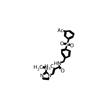 C=Nc1nccn1/C=C(\C)C(=O)NCc1ccc(S(=O)(=O)c2cccc(C(C)=O)c2)cc1